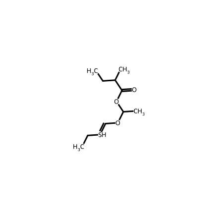 CC[SH]=COC(C)OC(=O)C(C)CC